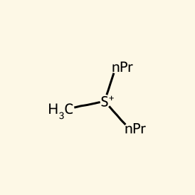 CCC[S+](C)CCC